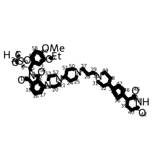 CCOc1cc([C@@H](CS(C)(=O)=O)N2C(=O)c3cccc(N4CCN(C5CCN(CCCN6CCC(c7ccc(C8CCC(=O)NC8=O)cc7)CC6)CC5)CC4)c3C2=O)ccc1OC